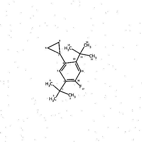 CC(C)(C)c1cc(C2CC2)c(C(C)(C)C)cc1F